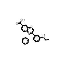 CCNc1cccc(-c2cnc3cc(C(=O)O)ccc3n2)c1.c1ccccc1